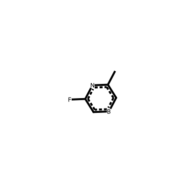 Cc1cbcc(F)n1